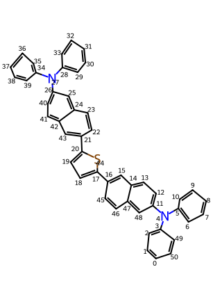 c1ccc(N(c2ccccc2)c2ccc3cc(-c4ccc(-c5ccc6cc(N(c7ccccc7)c7ccccc7)ccc6c5)s4)ccc3c2)cc1